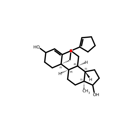 C[C@]12CC[C@@H]3[C@@H](CCC4=CC(O)CC[C@@]43COC3=CCCC3)[C@@H]1CCC2O